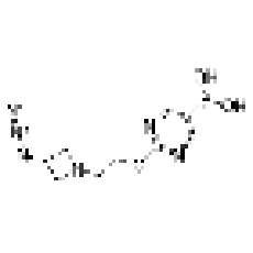 [N-]=[N+]=NC1CN(CCOc2ncc(B(O)O)cn2)C1